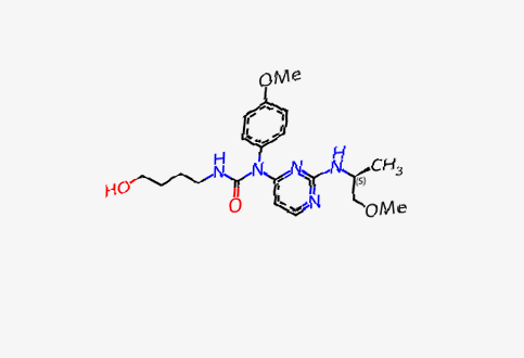 COC[C@H](C)Nc1nccc(N(C(=O)NCCCCO)c2ccc(OC)cc2)n1